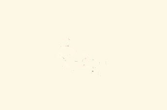 C=CC(=O)OC1C(=O)OCC1C(=O)OC(C)CC